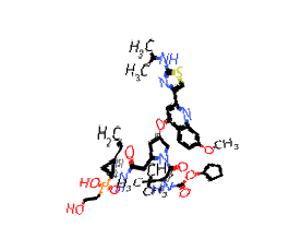 C=C[C@@H]1C[C@]1(NC(=O)CC1C[C@@H](Oc2cc(-c3csc(NC(C)C)n3)nc3cc(OC)ccc23)CN1C(=O)[C@@H](NC(=O)OC1CCCC1)C(C)(C)C)P(=O)(O)CCO